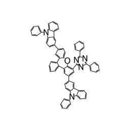 c1ccc(-c2nc(-c3ccccc3)nc(-c3cc(-c4ccc5c(c4)c4ccccc4n5-c4ccccc4)cc4c3Oc3ccc(-c5ccc6c(c5)c5ccccc5n6-c5ccccc5)cc3-c3ccccc3-4)n2)cc1